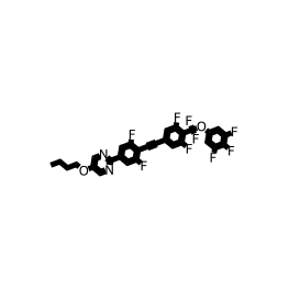 CCCCOc1cnc(-c2cc(F)c(C#Cc3cc(F)c(C(F)(F)Oc4cc(F)c(F)c(F)c4)c(F)c3)c(F)c2)nc1